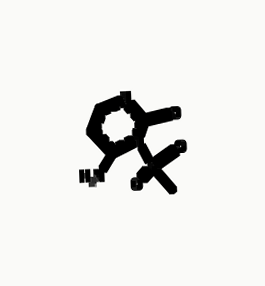 CS(=O)(=O)n1c(N)ccnc1=O